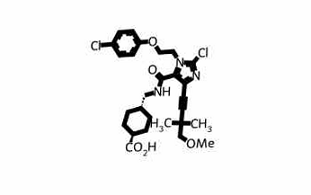 COCC(C)(C)C#Cc1nc(Cl)n(CCOc2ccc(Cl)cc2)c1C(=O)NC[C@H]1CC[C@H](C(=O)O)CC1